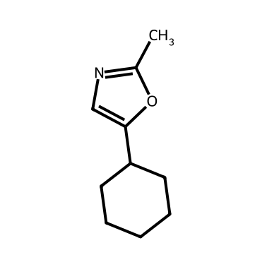 Cc1ncc(C2CCCCC2)o1